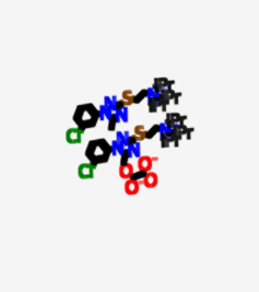 Cc1nc(SCC[N+](C(C)C)(C(C)C)C(C)C)nn1-c1cccc(Cl)c1.Cc1nc(SCC[N+](C(C)C)(C(C)C)C(C)C)nn1-c1cccc(Cl)c1.O=C([O-])C(=O)[O-]